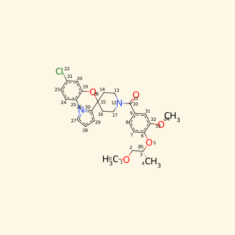 COC[C@@H](C)Oc1ccc(C(=O)N2CCC3(CC2)Oc2cc(Cl)ccc2-n2cccc23)cc1OC